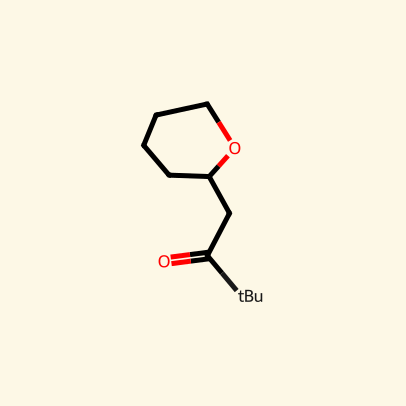 CC(C)(C)C(=O)CC1CCCCO1